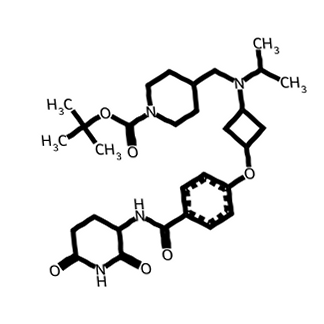 CC(C)N(CC1CCN(C(=O)OC(C)(C)C)CC1)C1CC(Oc2ccc(C(=O)NC3CCC(=O)NC3=O)cc2)C1